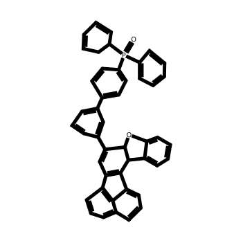 O=P(c1ccccc1)(c1ccc(-c2cccc(C3=CC4=C(c5cccc6cccc4c56)C4c5ccccc5OC34)c2)cc1)C1C=CC=CC1